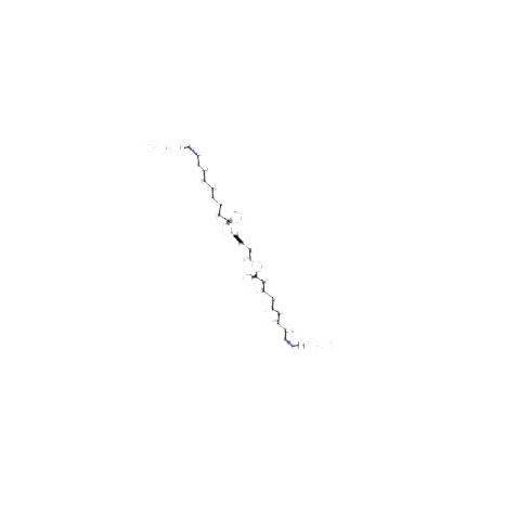 CCCCCCCC/C=C\CCCCCCCC(=O)OC#CCCOC(=O)CCCCCCC/C=C\CCCCCCCC